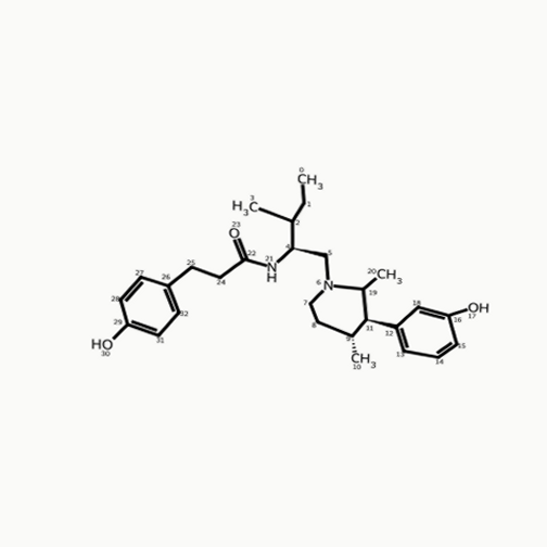 CCC(C)[C@@H](CN1CC[C@@H](C)[C@H](c2cccc(O)c2)C1C)NC(=O)CCc1ccc(O)cc1